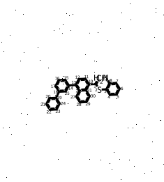 C=C(Sc1ccccc1N)c1ccc(-c2cccc(-c3ccccc3)c2)c2ccccc12